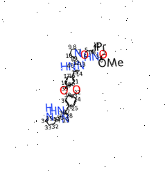 COC(=O)N[C@H](CON1CCC[C@H]1c1ncc(-c2ccc3c(c2)Oc2ccc(-c4cnc([C@@H]5CCCN5)[nH]4)cc2O3)[nH]1)C(C)C